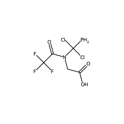 O=C(O)CN(C(=O)C(F)(F)F)C(P)(Cl)Cl